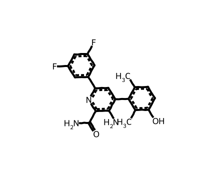 Cc1ccc(O)c(C)c1-c1cc(-c2cc(F)cc(F)c2)nc(C(N)=O)c1N